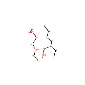 CCCCC(CC)CO.CCOCCO